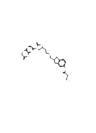 N[C@H](CO)C(=O)Nc1cc(F)c2c(c1)CC(CNCCC1CN(c3cnc4c(n3)NC(=O)CO4)C(=O)O1)C2